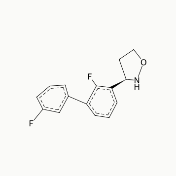 Fc1cccc(-c2cccc([C@H]3CCON3)c2F)c1